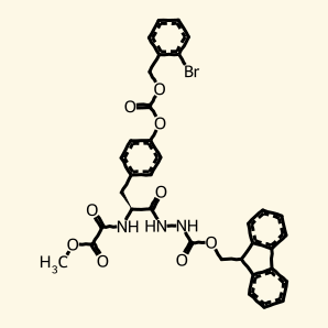 COC(=O)C(=O)N[C@@H](Cc1ccc(OC(=O)OCc2ccccc2Br)cc1)C(=O)NNC(=O)OCC1c2ccccc2-c2ccccc21